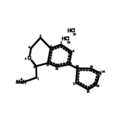 CNCC1OCCc2ccc(-c3cccnc3)cc21.Cl.Cl